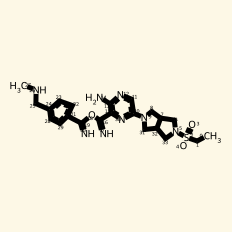 CCS(=O)(=O)N1CC2CN(c3cnc(N)c(C(=N)OC(=N)c4ccc(CNC)cc4)n3)CC2C1